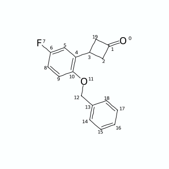 O=C1CC(c2cc(F)ccc2OCc2ccccc2)C1